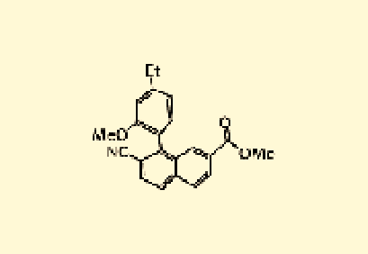 CCc1ccc(-c2c(C#N)ccc3ccc(C(=O)OC)cc23)c(OC)c1